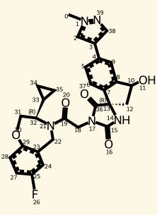 Cn1cc(-c2ccc3c(c2)C(O)C[C@@]32NC(=O)N(CC(=O)N3Cc4cc(F)ccc4OC[C@H]3C3CC3)C2=O)cn1